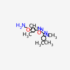 Cc1cc(-c2nnc(-c3nn(C)c4c3CCC(C)(C)C4)o2)cc(C)c1OCCN